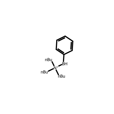 CCCC[N+](Bc1ccccc1)(CCCC)CCCC